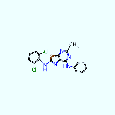 Cc1nc(Nc2ccccc2)c2nc(Nc3c(Cl)cccc3Cl)sc2n1